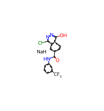 O=C(Nc1cccc(C(F)(F)F)c1)c1ccc2c(O)nnc(Cl)c2c1.[NaH]